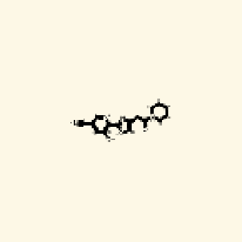 N#Cc1cnc(-c2nc(CC(=O)N3CCCCC3)cs2)c(O)c1